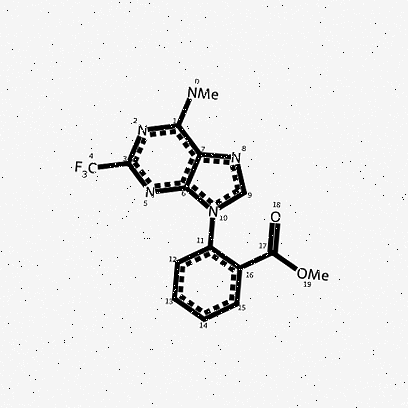 CNc1nc(C(F)(F)F)nc2c1ncn2-c1ccccc1C(=O)OC